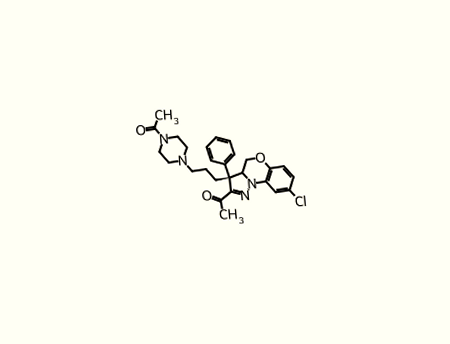 CC(=O)C1=NN2c3cc(Cl)ccc3OCC2[C@@]1(CCCN1CCN(C(C)=O)CC1)c1ccccc1